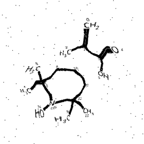 C=C(C)C(=O)O.CC1(C)CCCC(C)(C)N1O